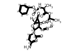 CC(C)OC(=O)[C@H](C)NP(=O)(Oc1ccccc1)OC1[C@H]2O[C@@H](n3ccc(N)nc3=O)C(N=[N+]=[N-])[C@@]12O